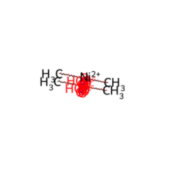 CCCCCCCCCCCCCCCCCCOC(CCCCCCCCCCCCCCCCCC)C(CO)(COP([O-])[O-])COP([O-])[O-].CCCCCCCCCCCCCCCCCCOC(CCCCCCCCCCCCCCCCCC)C(CO)(COP([O-])[O-])COP([O-])[O-].[Ni+2]